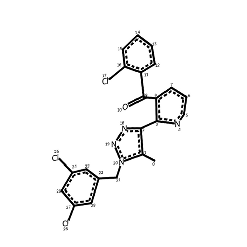 Cc1c(-c2ncccc2C(=O)c2ccccc2Cl)nnn1Cc1cc(Cl)cc(Cl)c1